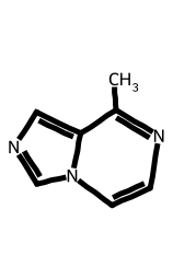 Cc1nccn2cncc12